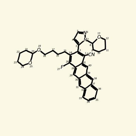 N#Cc1c(-c2ccnn2C2CCCCO2)c(CCCCOC2CCCCO2)c(F)c2cc3cc4ccccc4cc3cc12